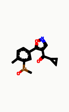 Cc1ccc(-c2oncc2C(=O)C2CC2)cc1[S+](C)[O-]